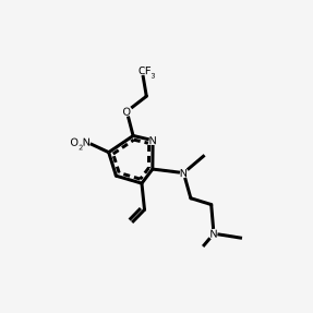 C=Cc1cc([N+](=O)[O-])c(OCC(F)(F)F)nc1N(C)CCN(C)C